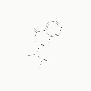 CCCCCC(=O)N(C)c1nc2ccccc2c(=O)o1